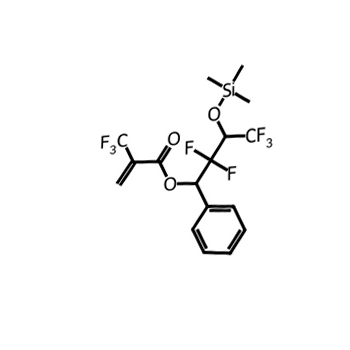 C=C(C(=O)OC(c1ccccc1)C(F)(F)C(O[Si](C)(C)C)C(F)(F)F)C(F)(F)F